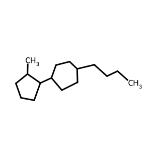 CCCCC1CCC(C2CCCC2C)CC1